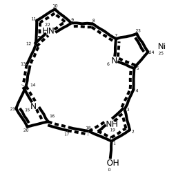 Oc1cc2cc3nc(cc4ccc(cc5nc(cc1[nH]2)C=C5)[nH]4)C=C3.[Ni]